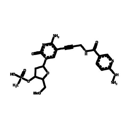 COCC1OC(n2cc(C#CCNC(=O)c3ccc(NN)nc3)c(N)nc2=O)CC1OP(C)(=O)O